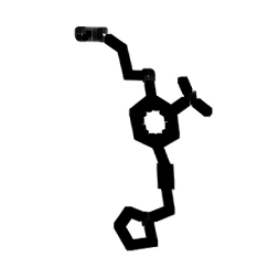 CN(C)c1cc(C#CCN2CCCC2)ccc1OCCC=O